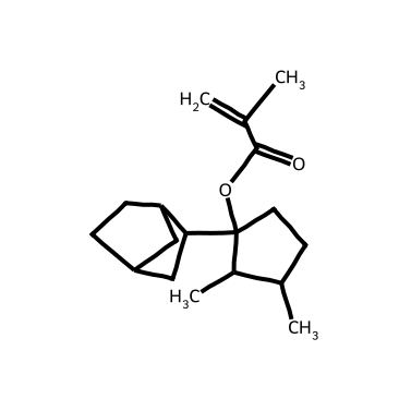 C=C(C)C(=O)OC1(C2CC3CCC2C3)CCC(C)C1C